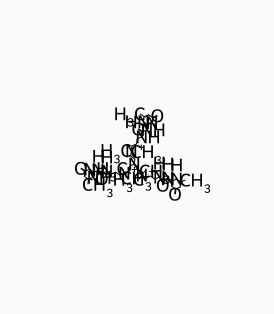 Cc1cc(=O)nc(NC(=O)NCCC[N+](C)(C)CCN(CC[N+](C)(C)CCCNC(=O)NC2=CC(=O)CC(C)N2)CC[N+](C)(C)CCCNC(=O)NC2=NC(=O)CC(C)N2)[nH]1